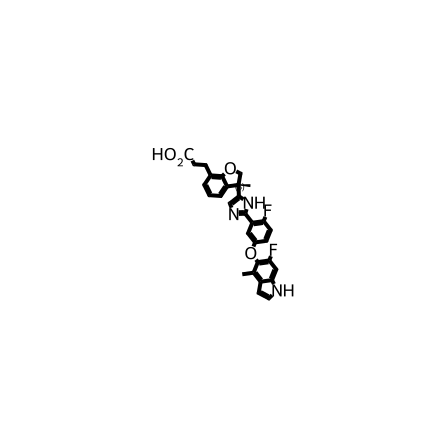 Cc1c(Oc2ccc(F)c(-c3ncc([C@@]4(C)COc5c(CCC(=O)O)cccc54)[nH]3)c2)c(F)cc2[nH]ccc12